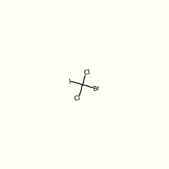 ClC(Cl)(Br)I